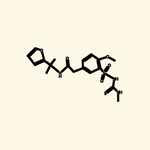 CNC(=S)NS(=O)(=O)c1cc(CC(=O)NC(C)(C)c2ccco2)ccc1OC